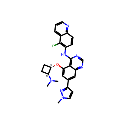 CN(C)[C@H]1CC[C@@H]1Oc1cc(-c2ccn(C)n2)cc2ncnc(Nc3ccc4ncccc4c3F)c12